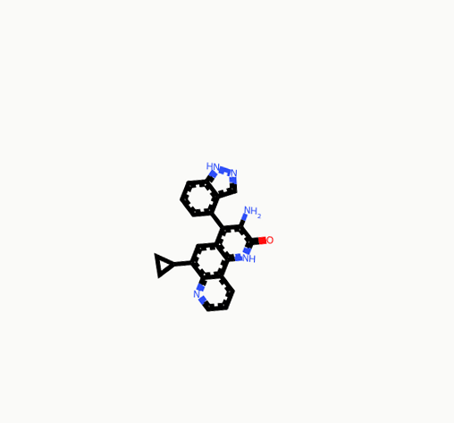 Nc1c(-c2cccc3[nH]ncc23)c2cc(C3CC3)c3ncccc3c2[nH]c1=O